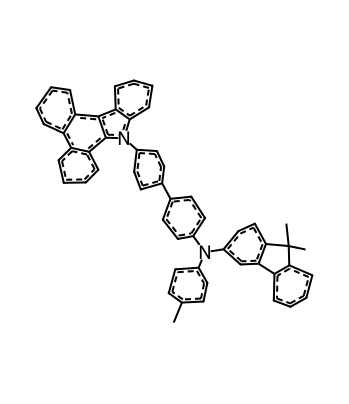 Cc1ccc(N(c2ccc(-c3ccc(-n4c5ccccc5c5c6ccccc6c6ccccc6c54)cc3)cc2)c2ccc3c(c2)-c2ccccc2C3(C)C)cc1